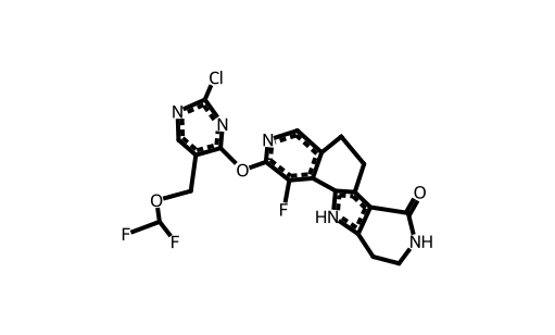 O=C1NCCc2[nH]c3c(c21)CCc1cnc(Oc2nc(Cl)ncc2COC(F)F)c(F)c1-3